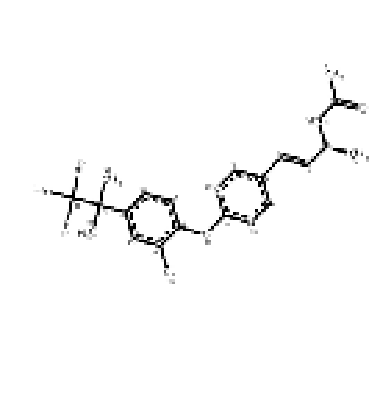 CC(=O)N[C@@H](C)/C=C/c1cnc(Oc2ccc(C(C)(C)C(F)(F)F)cc2Cl)nc1